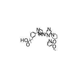 CCOc1cccnc1OC1CCCN(c2cncc(Nc3ccnc(-c4cccc(CC(C)(C)C(=O)O)c4)n3)n2)C1